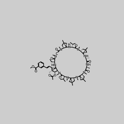 CC[C@@H]1NC(=O)[C@H]([C@H](OC(C)=O)[C@H](C)C/C=C/c2cccc(C(=O)OC)c2)N(C)C(=O)[C@H](C(C)C)N(C)C(=O)[C@H](CC(C)C)N(C)C(=O)[C@H](CC(C)C)N(C)C(=O)[C@H](C)NC(=O)[C@@H](C)NC(=O)[C@@H](CC(C)C)N(C)C(=O)[C@@H](C(C)C)NC(=O)[C@H](CC(C)C)N(C)C(=O)CN(C)C1=O